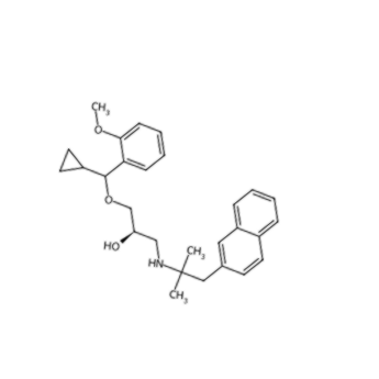 COc1ccccc1C(OC[C@H](O)CNC(C)(C)Cc1ccc2ccccc2c1)C1CC1